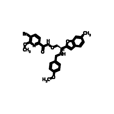 COc1ccc(CN[C@H](CONC(=O)c2ccc(Br)c(OC)n2)c2cc3ccc(C)cc3o2)cc1